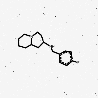 Fc1ccc(CNC2CCN3CCCCC3C2)cc1